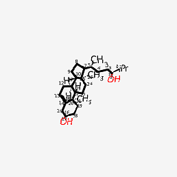 CC(C)[C@@H](O)CC[C@@H](C)C1CC[C@H]2[C@@H]3CC=C4C[C@@H](O)CC[C@]4(C)[C@H]3CC[C@]12C